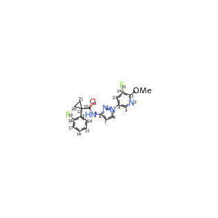 COc1ncc(-n2ccc(NC(=O)C3(c4ccccc4F)CC3)n2)cc1F